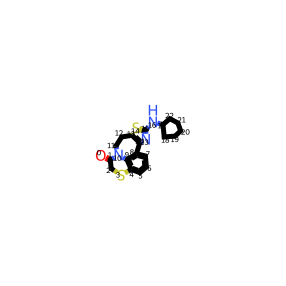 O=C1CSc2cccc3c2N1CCc1sc(NC2CCCCC2)nc1-3